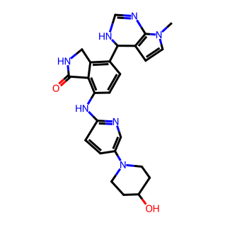 Cn1ccc2c1N=CNC2c1ccc(Nc2ccc(N3CCC(O)CC3)cn2)c2c1CNC2=O